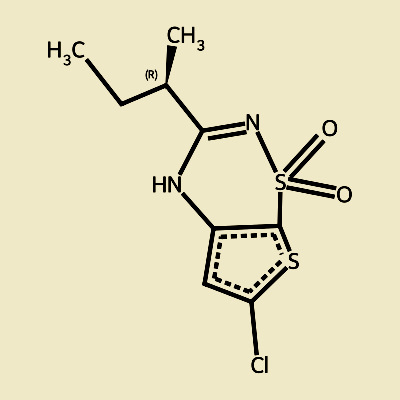 CC[C@@H](C)C1=NS(=O)(=O)c2sc(Cl)cc2N1